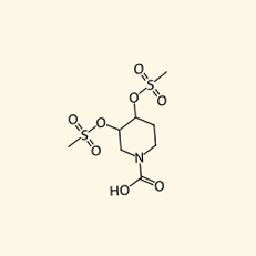 CS(=O)(=O)OC1CCN(C(=O)O)CC1OS(C)(=O)=O